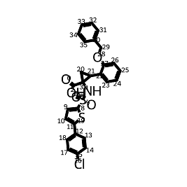 O=C(O)C1(NS(=O)(=O)c2ccc(-c3ccc(Cl)cc3)s2)CC1c1ccccc1OCc1ccccc1